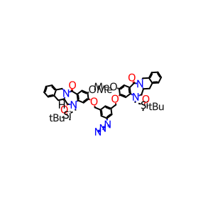 COc1cc2c(cc1OCc1cc(COc3cc4c(cc3OC)C(=O)N3Cc5ccccc5C[C@H]3C(O[Si](C)(C)C(C)(C)C)N4C)cc(N=[N+]=[N-])c1)N(C)C(O[Si](C)(C)C(C)(C)C)C1Cc3ccccc3CN1C2=O